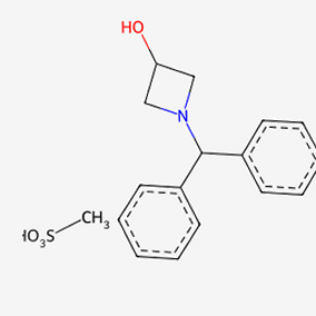 CS(=O)(=O)O.OC1CN(C(c2ccccc2)c2ccccc2)C1